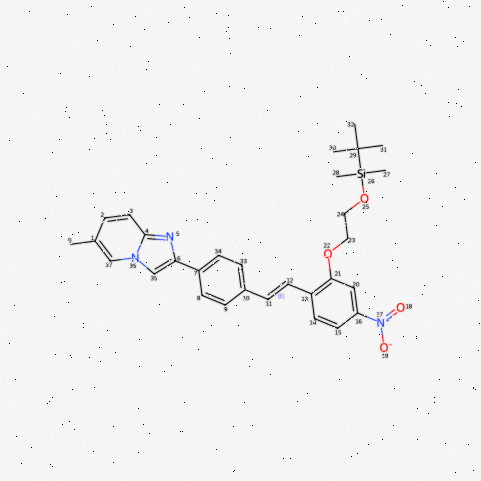 Cc1ccc2nc(-c3ccc(/C=C/c4ccc([N+](=O)[O-])cc4OCCO[Si](C)(C)C(C)(C)C)cc3)cn2c1